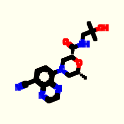 C[C@@H]1CN(c2ccc(C#N)c3nccnc23)C[C@H](C(=O)NCC(C)(C)O)O1